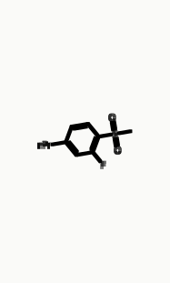 CCCc1ccc(S(C)(=O)=O)c(F)c1